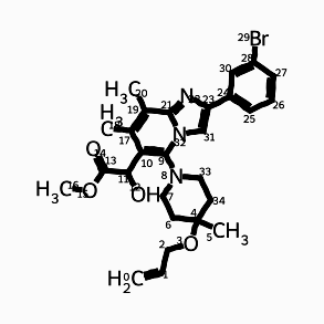 C=CCOC1(C)CCN(c2c(C(O)C(=O)OC)c(C)c(C)c3nc(-c4cccc(Br)c4)cn23)CC1